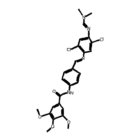 COc1cc(C(=O)Nc2ccc(/C=N/c3cc(Cl)c(/N=C/N(C)C)cc3Cl)cc2)cc(OC)c1OC